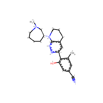 Cc1cc(C#N)cc(O)c1-c1cc2c(nn1)N([C@@H]1CCCCN(C)C1)CCC2